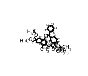 COCC1(COC)Cc2c(C)c(CCO[Si](C)(C)C(C)(C)C)c([C@@H]3C=CC=CC3Cc3ccccc3)c(C)c2C1